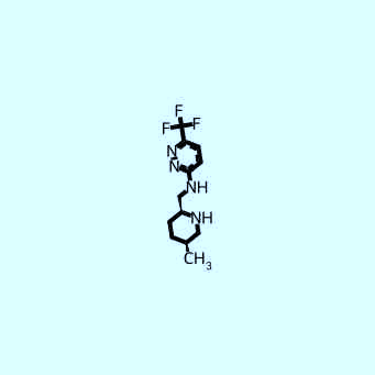 C[C@H]1CC[C@@H](CNc2ccc(C(F)(F)F)nn2)NC1